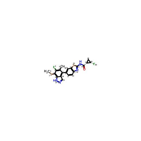 CSc1c(F)c(C)c(-c2ccc3nc(NC(=O)[C@@H]4C[C@@H]4F)sc3c2)c2cn[nH]c12